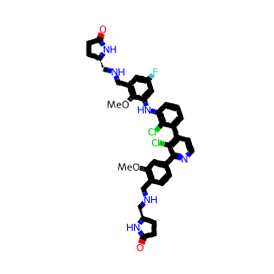 COc1cc(-c2nccc(-c3cccc(Nc4cc(F)cc(CNC[C@@H]5CCC(=O)N5)c4OC)c3Cl)c2Cl)ccc1CNC[C@H]1CCC(=O)N1